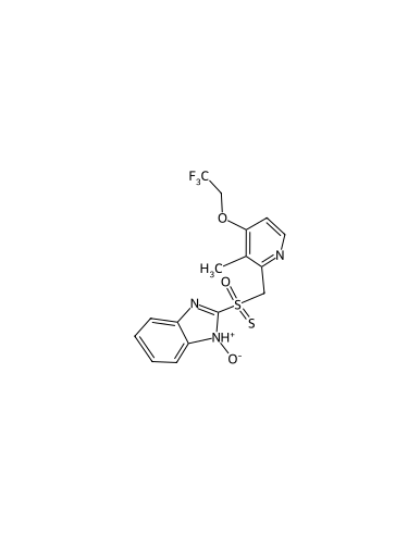 Cc1c(OCC(F)(F)F)ccnc1CS(=O)(=S)C1=Nc2ccccc2[NH+]1[O-]